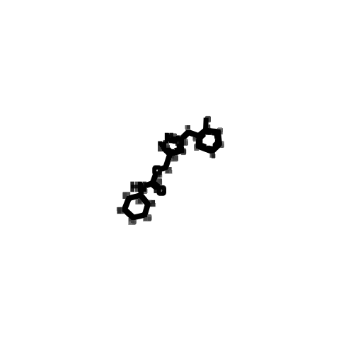 Cc1ccccc1Cn1cc(COC(=O)NC2CCCCC2)nn1